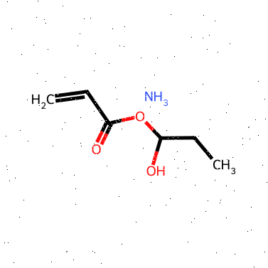 C=CC(=O)OC(O)CC.N